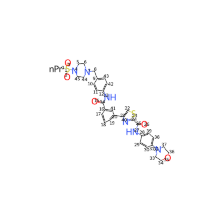 CCCS(=O)(=O)N1CCN(Cc2ccc(NC(=O)c3cccc(-c4csc(C(=O)Nc5ccc(N6CCOCC6)cc5)n4)c3)cc2)CC1